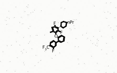 CCC[C@H]1CC[C@H](c2c(F)cc(C)c(Oc3ccccc3-c3ccc(C(F)(F)F)c(F)c3)c2F)CC1